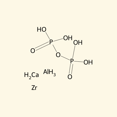 O=P(O)(O)OP(=O)(O)O.[AlH3].[CaH2].[Zr]